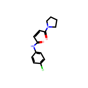 O=C(/C=C\C(=O)N1CCCC1)Nc1ccc(Cl)cc1